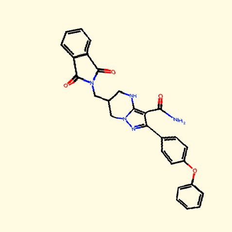 NC(=O)c1c(-c2ccc(Oc3ccccc3)cc2)nn2c1NCC(CN1C(=O)c3ccccc3C1=O)C2